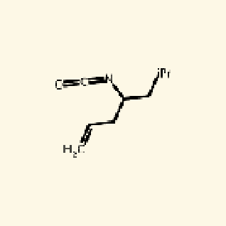 C=CCC(CC(C)C)N=C=O